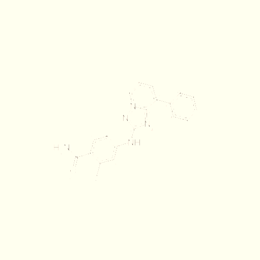 Cc1cccc(-c2cccn3nc(Nc4ccc(C(N)=O)c(C)c4)nc23)c1